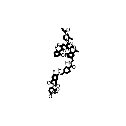 C=CC(=O)N1CCN(c2nc(=O)n(-c3c(C)cc(CNC(=O)C4CCC(CNc5cc6c(cc5F)C(=O)N(C5CCC(=O)NC5=O)C6=O)CC4)cc3C(C)C)c3nc(-c4c(O)cccc4F)c(F)cc23)C(C)C1